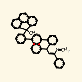 C=N/C(=C\C(c1ccccc1)c1ccccc1-c1ccc(-c2ccccc2C2(C)c3cccc4ccc5cccc2c5c34)cc1)c1ccccc1